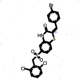 O=C1Nc2cc(S(=O)(=O)Cc3c(Cl)cccc3Cl)ccc2S/C1=C/c1ccc(Br)cc1